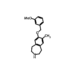 COc1cccc(COc2cc3c(cc2C)CCNCC3)c1